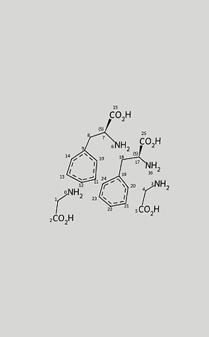 NCC(=O)O.NCC(=O)O.N[C@@H](Cc1ccccc1)C(=O)O.N[C@@H](Cc1ccccc1)C(=O)O